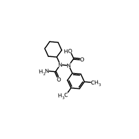 Cc1cc(C)cc(N(C(=O)O)N(C(N)=O)C2CCCCC2)c1